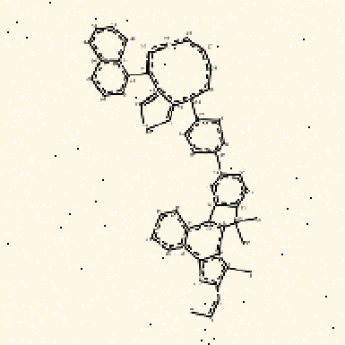 C/C=C\c1sc2c(c1C)c1c(c3ccccc32)-c2cc(-c3ccc(-c4ccccccc(-c5cccc6ccccc56)c(=C/C)/c4=C\C)cc3)ccc2C1(C)C